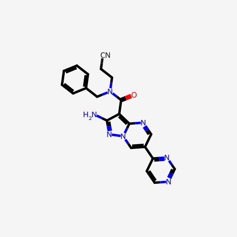 N#CCCN(Cc1ccccc1)C(=O)c1c(N)nn2cc(-c3ccncn3)cnc12